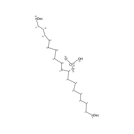 CCCCCCCCCCCCCCCCCCSCCCCCCCCCCCCCCCCCC.[O-][Cl+2]([O-])O